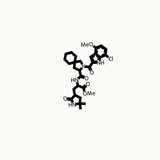 COC(=O)C(CC1CC(C)(C)NC1=O)NC(=O)C1CC2(CCCCC2)CN1C(=O)c1cc2c(OC)ccc(Cl)c2[nH]1